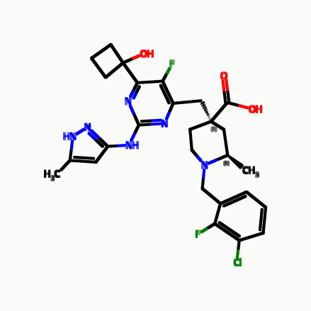 Cc1cc(Nc2nc(C[C@@]3(C(=O)O)CCN(Cc4cccc(Cl)c4F)[C@H](C)C3)c(F)c(C3(O)CCC3)n2)n[nH]1